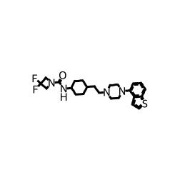 O=C(NC1CCC(CCN2CCN(c3cccc4sccc34)CC2)CC1)N1CC(F)(F)C1